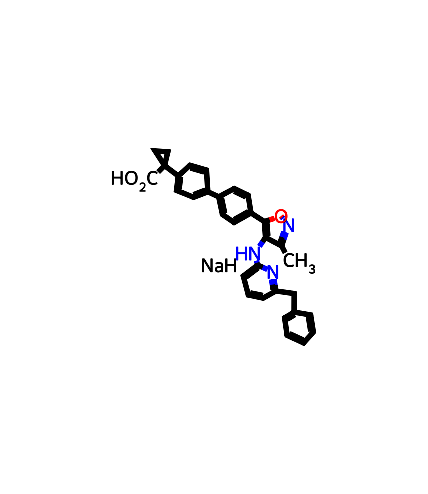 Cc1noc(-c2ccc(-c3ccc(C4(C(=O)O)CC4)cc3)cc2)c1Nc1cccc(Cc2ccccc2)n1.[NaH]